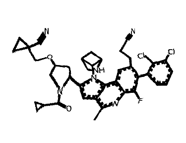 Cc1nc2c(F)c(-c3cccc(Cl)c3Cl)c(CCC#N)cc2c2c1cc(C1CC(OCC3(C#N)CC3)CN1C(=O)C1CC1)n2C1C2CNC1C2